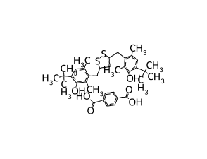 Cc1cc(C(C)(C)C)c(O)c(C)c1CC1=CC(Cc2c(C)cc(C(C)(C)C)c(O)c2C)SS1.O=C(O)c1ccc(C(=O)O)cc1